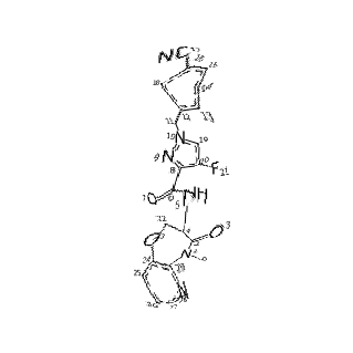 CN1C(=O)C(NC(=O)c2nn(Cc3cccc(C#N)c3)cc2F)COc2cccnc21